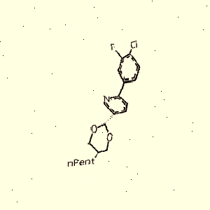 CCCCC[C@H]1CO[C@H](c2ccc(-c3ccc(Cl)c(F)c3)nc2)OC1